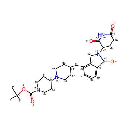 CC(C)(C)OC(=O)N1CCC(N2CCC(Cc3cccc4c3CN(C3CCC(=O)NC3=O)C4=O)CC2)CC1